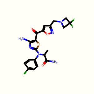 CC(C(N)=O)N(c1ccc(F)cc1)c1nc(N)c(C(=O)c2cc(CN3CC(F)(F)C3)no2)s1